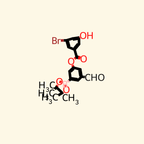 CC1(C)OB(c2cc(C=O)cc(OC(=O)c3cc(O)cc(Br)c3)c2)OC1(C)C